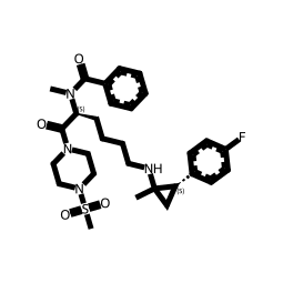 CN(C(=O)c1ccccc1)[C@@H](CCCCNC1(C)C[C@H]1c1ccc(F)cc1)C(=O)N1CCN(S(C)(=O)=O)CC1